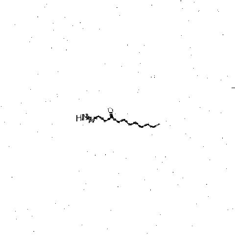 CCCCCCCCC(=O)CCN=N